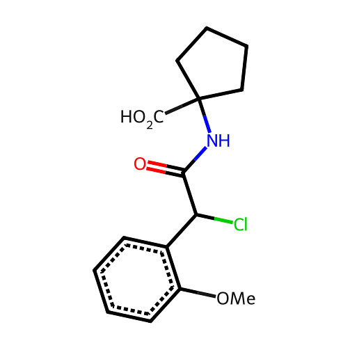 COc1ccccc1C(Cl)C(=O)NC1(C(=O)O)CCCC1